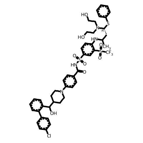 CC(C[C@@H](Sc1ccccc1)N(CCO)CCO)Nc1ccc(S(=O)(=O)NC(=O)c2ccc(N3CCC(C(O)c4ccccc4-c4ccc(Cl)cc4)CC3)cc2)cc1S(=O)(=O)C(F)(F)F